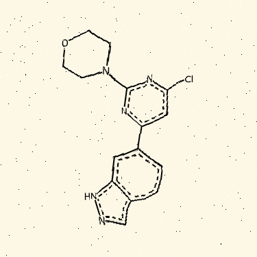 Clc1cc(-c2ccc3cn[nH]c3c2)nc(N2CCOCC2)n1